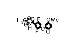 COc1ccc(Cl)c(Oc2cc(F)c(C(=O)NS(C)(=O)=O)cc2F)c1